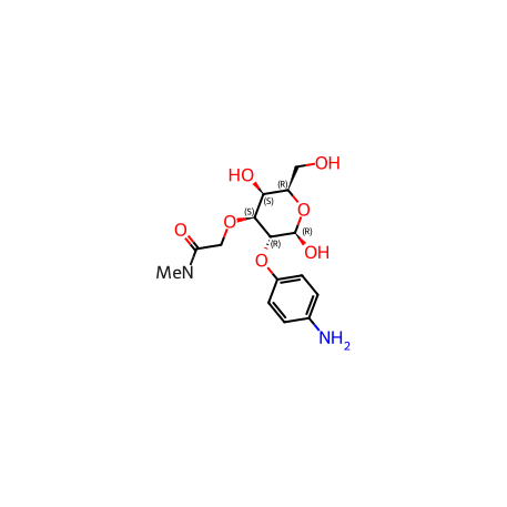 CNC(=O)CO[C@H]1[C@@H](O)[C@@H](CO)O[C@@H](O)[C@@H]1Oc1ccc(N)cc1